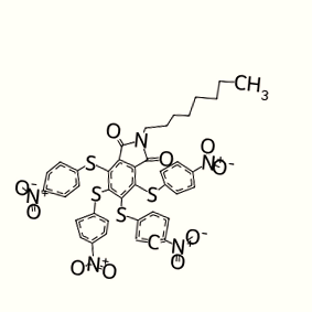 CCCCCCCCN1C(=O)c2c(Sc3ccc([N+](=O)[O-])cc3)c(Sc3ccc([N+](=O)[O-])cc3)c(Sc3ccc([N+](=O)[O-])cc3)c(Sc3ccc([N+](=O)[O-])cc3)c2C1=O